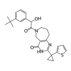 CC(C)(C)c1cccc(C(O)C(=O)N2CCCc3nc(C4(c5cccs5)CC4)[nH]c(=O)c3C2)c1